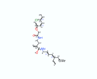 C=C/C(=C\C=C\CNC(=O)C(=C)CCNC(=O)COC(=C)/C=C\C(Cl)=C\C)COC